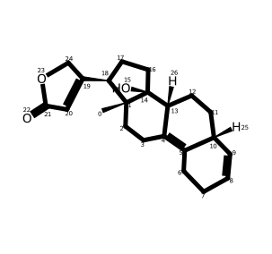 C[C@]12CCC3=C4CCC=C[C@H]4CC[C@H]3[C@@]1(O)CC[C@@H]2C1=CC(=O)OC1